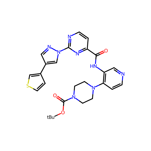 CC(C)(C)OC(=O)N1CCN(c2ccncc2NC(=O)c2ccnc(-n3cc(-c4ccsc4)cn3)n2)CC1